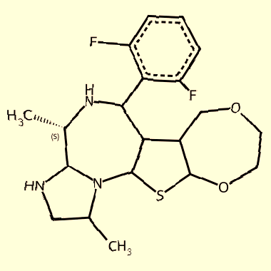 CC1CNC2[C@H](C)NC(c3c(F)cccc3F)C3C4COCCOC4SC3N12